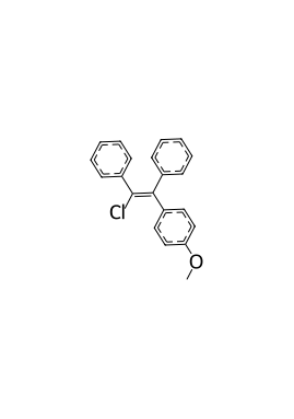 COc1ccc(C(=C(Cl)c2ccccc2)c2ccccc2)cc1